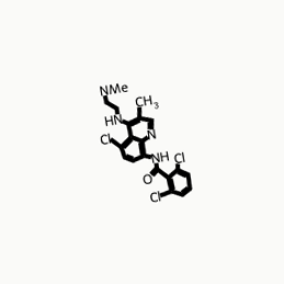 CNCCNc1c(C)cnc2c(NC(=O)c3c(Cl)cccc3Cl)ccc(Cl)c12